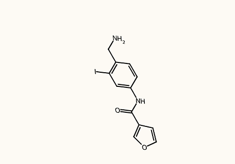 NCc1ccc(NC(=O)c2ccoc2)cc1I